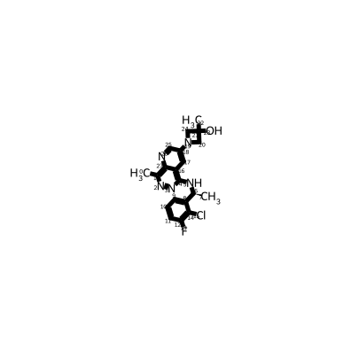 Cc1nnc(N[C@H](C)c2cccc(F)c2Cl)c2cc(N3CC(C)(O)C3)cnc12